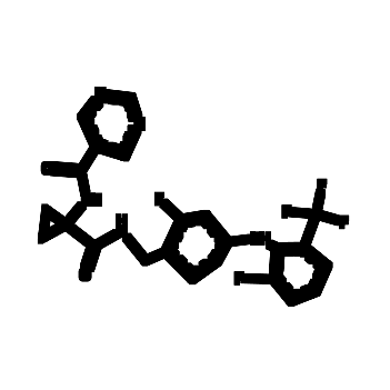 O=C(NC1(C(=O)NCc2ccc(Nc3c(F)cccc3C(F)(F)F)cc2F)CC1)c1cncnc1